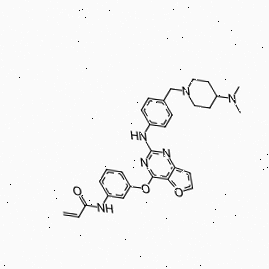 C=CC(=O)Nc1cccc(Oc2nc(Nc3ccc(CN4CCC(N(C)C)CC4)cc3)nc3ccoc23)c1